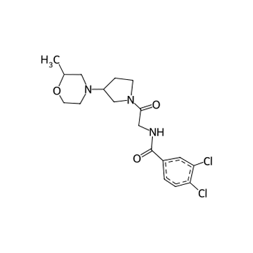 CC1CN(C2CCN(C(=O)CNC(=O)c3ccc(Cl)c(Cl)c3)C2)CCO1